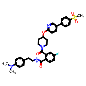 CN(C)c1ccc(CCNC(=O)c2ccc(F)cc2C(=O)N2CCC(Oc3ccc(-c4ccc(S(C)(=O)=O)cc4)cn3)CC2)cc1